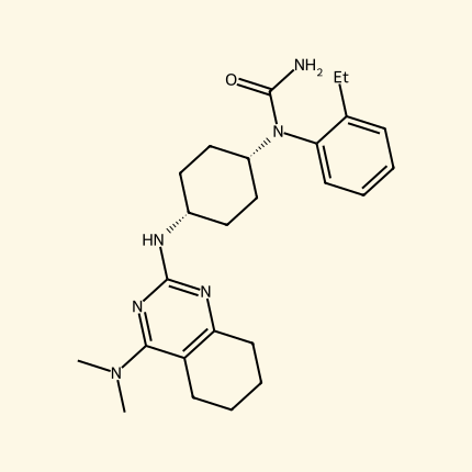 CCc1ccccc1N(C(N)=O)[C@H]1CC[C@@H](Nc2nc3c(c(N(C)C)n2)CCCC3)CC1